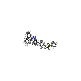 c1ccc(-c2ccc(-c3ccc(-c4ccc5c(c4)N=C4c6ccccc6-c6ccccc6C45)cc3)s2)cc1